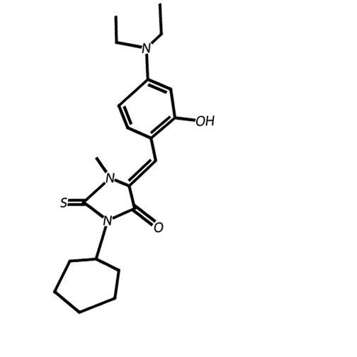 CCN(CC)c1ccc(C=C2C(=O)N(C3CCCCC3)C(=S)N2C)c(O)c1